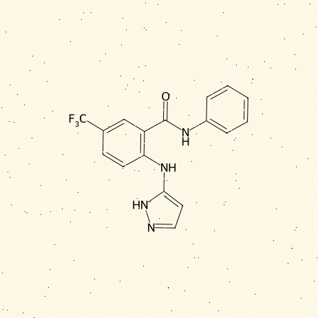 O=C(Nc1ccccc1)c1cc(C(F)(F)F)ccc1Nc1ccn[nH]1